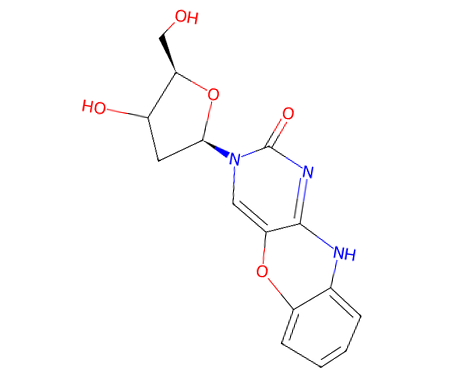 O=c1nc2c(cn1[C@H]1CC(O)[C@@H](CO)O1)Oc1ccccc1N2